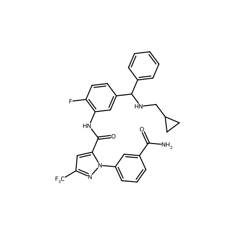 NC(=O)c1cccc(-n2nc(C(F)(F)F)cc2C(=O)Nc2cc(C(NCC3CC3)c3ccccc3)ccc2F)c1